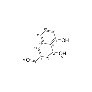 O=Cc1cc(O)c2c(O)cccc2c1